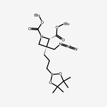 CC(C)(C)OC(=O)[C@H]1N(C(=O)OC(C)(C)C)C[C@]1(CCCB1OC(C)(C)C(C)(C)O1)CN=[N+]=[N-]